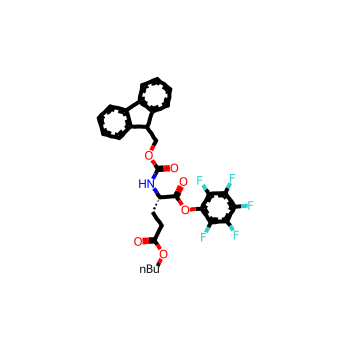 CCCCOC(=O)CC[C@H](NC(=O)OCC1c2ccccc2-c2ccccc21)C(=O)Oc1c(F)c(F)c(F)c(F)c1F